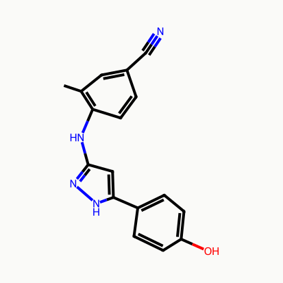 Cc1cc(C#N)ccc1Nc1cc(-c2ccc(O)cc2)[nH]n1